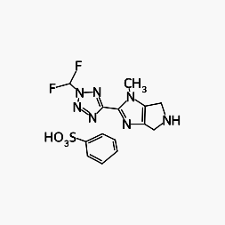 Cn1c(-c2nnn(C(F)F)n2)nc2c1CNC2.O=S(=O)(O)c1ccccc1